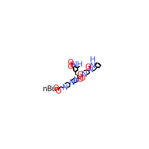 CCCCOC(=O)CCN1CCC(N2CCN(C(=O)[C@@H](Cc3cc(C)c4[nH]c(=O)oc4c3)OC(=O)N3CCC(N4CCc5ccccc5NC4=O)CC3)CC2)CC1